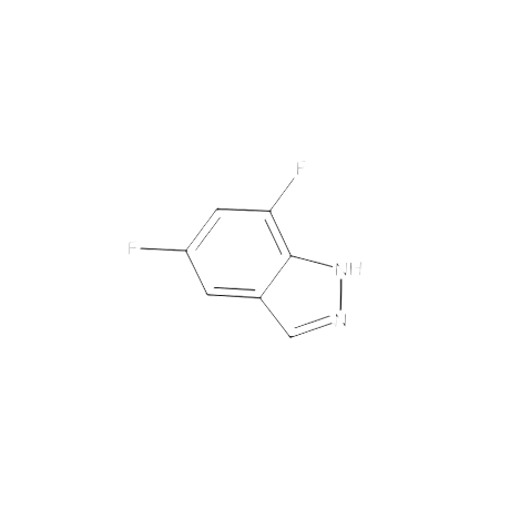 Fc1cc(F)c2[nH]ncc2c1